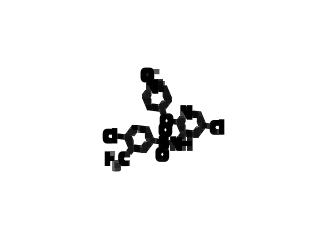 O=S(=O)(Nc1cc(Cl)cnc1Oc1cc[n+]([O-])cc1)c1ccc(Cl)c(C(F)(F)F)c1